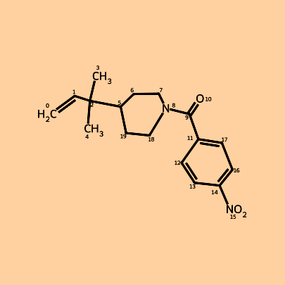 C=CC(C)(C)C1CCN(C(=O)c2ccc([N+](=O)[O-])cc2)CC1